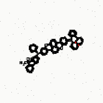 CC1(C)c2ccccc2-c2ccc(N(c3ccccc3)c3ccc4c(c3)Oc3ccc5c6c(ccc-4c36)Oc3cc(N(c4ccccc4C4C=CC=CC4)C4C=CC=CC4)ccc3-5)cc21